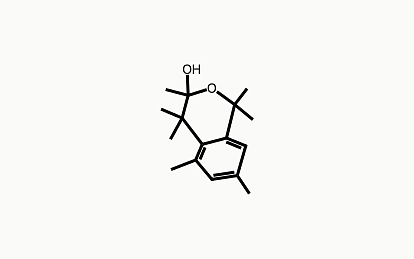 Cc1cc(C)c2c(c1)C(C)(C)OC(C)(O)C2(C)C